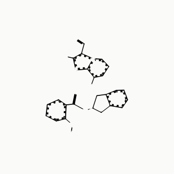 COc1ccccc1C(=O)O[C@@H]1Cc2ccccc2[C@H]1Oc1cccn2c(C=O)c(C)nc12